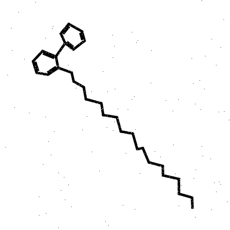 CCCCCCCCCCCCCCCCCCc1ccccc1-c1ccccc1